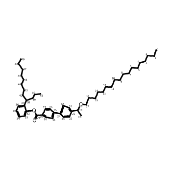 CCCCCCCCCCCCCCCCCCOC(C)c1ccc(-c2ccc(C(=O)Oc3ccccc3C(CCC)CCCCCCCC)cc2)cc1